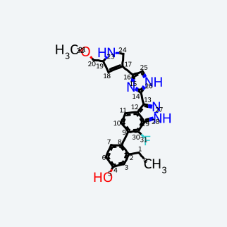 CCc1cc(O)ccc1-c1ccc2c(-c3nc(C4=CC(COC)NC4)c[nH]3)n[nH]c2c1F